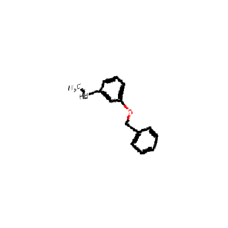 CBc1cccc(OCc2ccccc2)c1